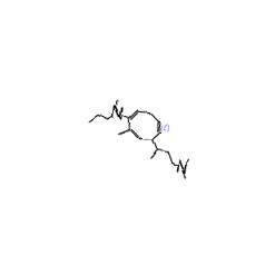 CCCN(C)C1=CC/C=C\C(C(C)CCN(C)C)C=C1C